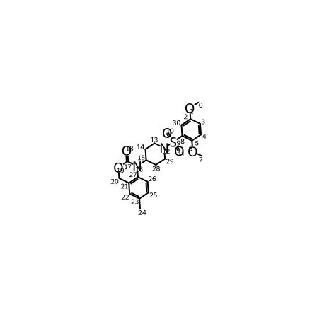 COc1ccc(OC)c(S(=O)(=O)N2CCC(N3C(=O)OCc4cc(C)ccc43)CC2)c1